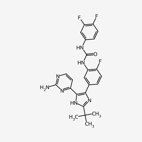 CC(C)(C)c1nc(-c2ccc(F)c(NC(=O)Nc3ccc(F)c(F)c3)c2)c(-c2ccnc(N)n2)[nH]1